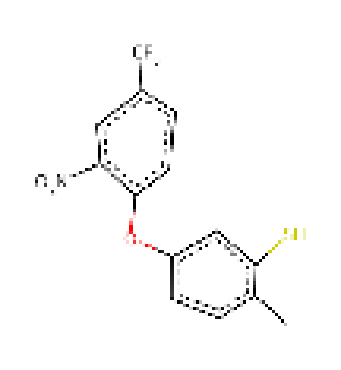 Cc1ccc(Oc2ccc(C(F)(F)F)cc2[N+](=O)[O-])cc1S